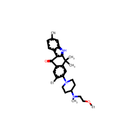 CCOCCN(C)C1CCN(c2cc3c(cc2CC)C(=O)c2c([nH]c4cc(C#N)ccc24)C3(C)C)CC1